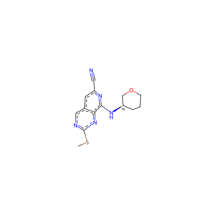 CSc1ncc2cc(C#N)nc(N[C@@H]3CCCOC3)c2n1